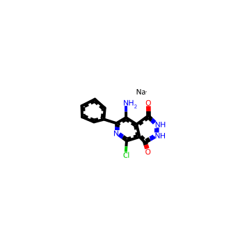 Nc1c(-c2ccccc2)nc(Cl)c2c(=O)[nH][nH]c(=O)c12.[Na]